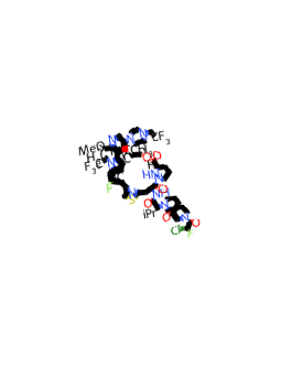 CO[C@@H](C)c1ncc(N2CCN(CC(F)(F)F)CC2)cc1-c1c2c3cc(c(F)cc3n1CC(F)(F)F)-c1csc(n1)C[C@H](NC(=O)[C@H](C(C)C)N1CCCC3(CCN(C(=O)[C@H](F)Cl)CC3)C1=O)C(=O)N1CCC[C@H](N1)C(=O)OCC(C)(C)C2